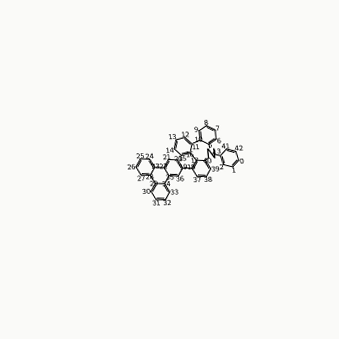 c1ccc(N2c3ccccc3-c3ccccc3-c3c(-c4ccc5c6ccccc6c6ccccc6c5c4)cccc32)cc1